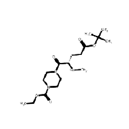 CCOC(=O)N1CCN(C(=O)[C@H](CCC(=O)OC(C)(C)C)NC)CC1